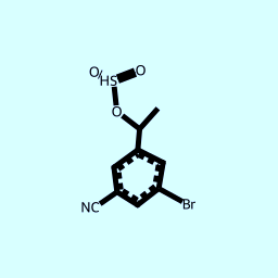 CC(O[SH](=O)=O)c1cc(Br)cc(C#N)c1